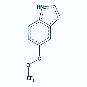 FC(F)(F)OOc1ccc2[nH]ccc2c1